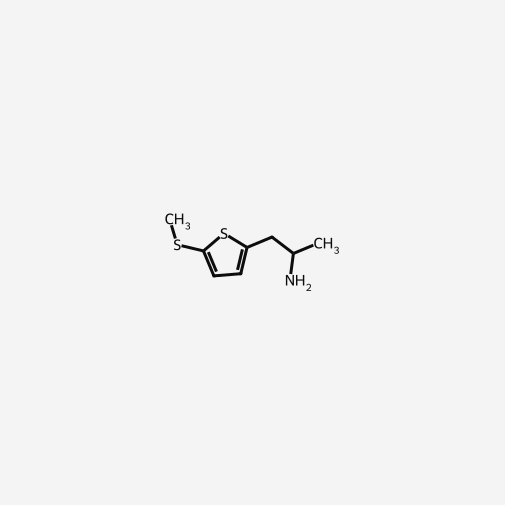 CSc1ccc(CC(C)N)s1